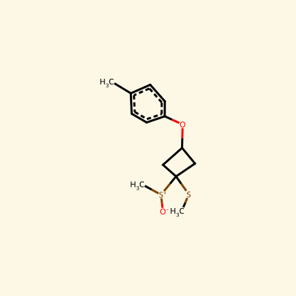 CSC1([S+](C)[O-])CC(Oc2ccc(C)cc2)C1